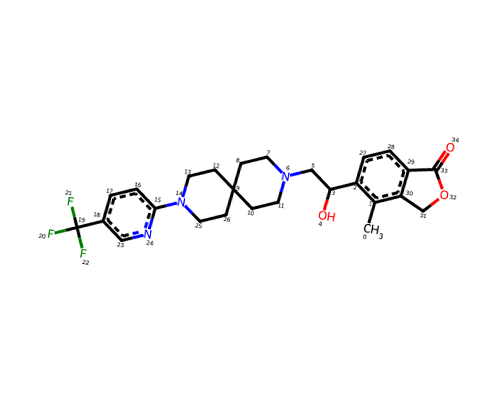 Cc1c(C(O)CN2CCC3(CC2)CCN(c2ccc(C(F)(F)F)cn2)CC3)ccc2c1COC2=O